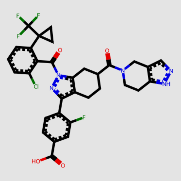 O=C(O)c1ccc(-c2nn(C(=O)c3c(Cl)cccc3C3(C(F)(F)F)CC3)c3c2CCC(C(=O)N2CCc4[nH]ncc4C2)C3)c(F)c1